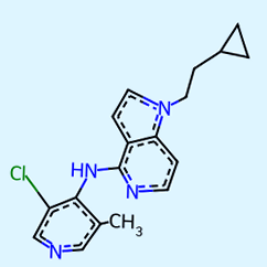 Cc1cncc(Cl)c1Nc1nccc2c1ccn2CCC1CC1